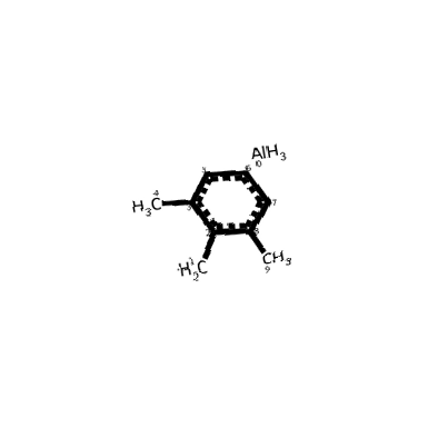 [AlH3].[CH2]c1c(C)cccc1C